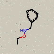 C[CH]ONCc1ccccc1